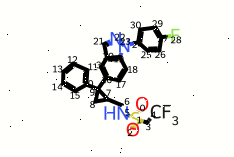 O=S(=O)(CC(F)(F)F)NCC1CC1(c1ccccc1)c1ccc2c(cnn2-c2ccc(F)cc2)c1